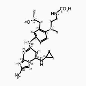 CN(CCNC(=O)O)c1ccc(Nc2nc(NC3CC3)n3cc(C#N)nc3n2)cc1C[S+](C)[O-]